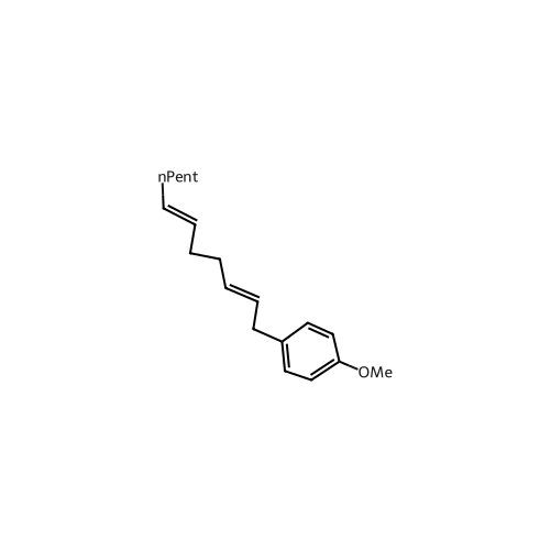 CCCCCC=CCCC=CCc1ccc(OC)cc1